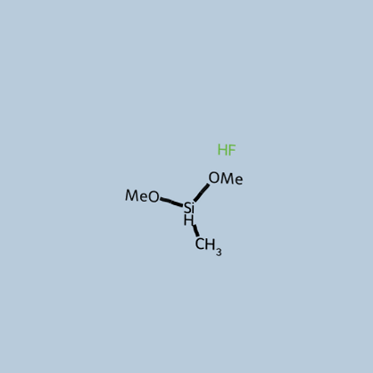 CO[SiH](C)OC.F